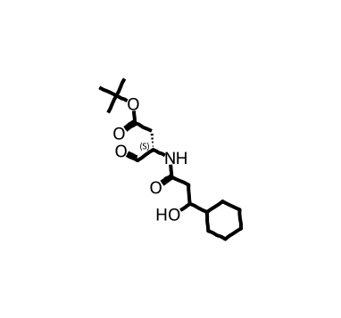 CC(C)(C)OC(=O)C[C@@H](C=O)NC(=O)CC(O)C1CCCCC1